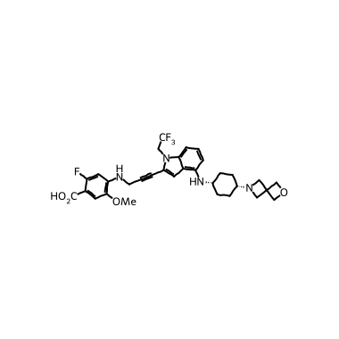 COc1cc(C(=O)O)c(F)cc1NCC#Cc1cc2c(N[C@H]3CC[C@@H](N4CC5(COC5)C4)CC3)cccc2n1CC(F)(F)F